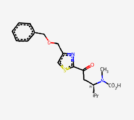 CC(C)[C@@H](CC(=O)c1nc(COCc2ccccc2)cs1)N(C)C(=O)O